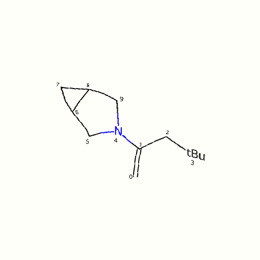 C=C(CC(C)(C)C)N1CC2CC2C1